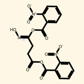 O=C(CC/C(=N/O)OC(=O)c1ccccc1[N+](=O)[O-])OC(=O)c1ccccc1[N+](=O)[O-]